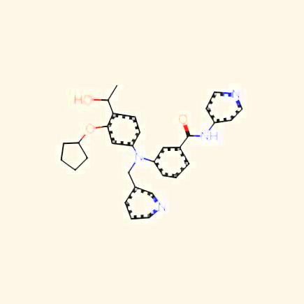 CC(O)c1ccc(N(Cc2cccnc2)c2cccc(C(=O)Nc3ccncc3)c2)cc1OC1CCCC1